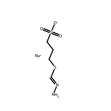 NN=CSCCCS(=O)(=O)[O-].[Na+]